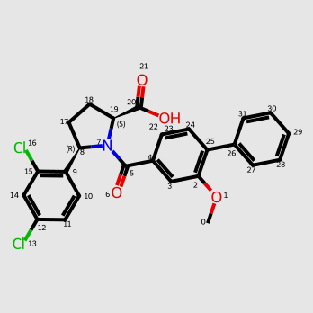 COc1cc(C(=O)N2[C@@H](c3ccc(Cl)cc3Cl)CC[C@H]2C(=O)O)ccc1-c1ccccc1